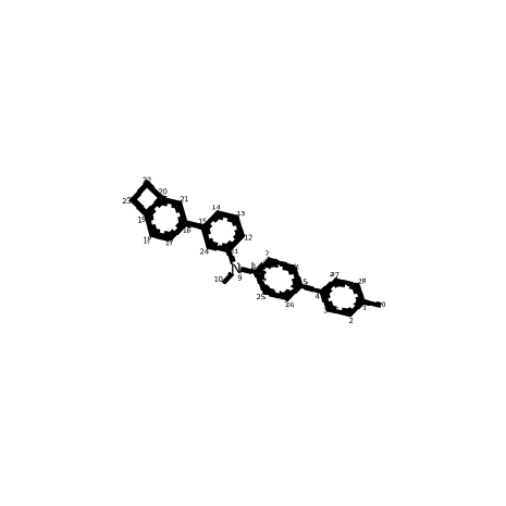 Cc1ccc(-c2ccc(N(C)c3cccc(-c4ccc5c(c4)CC5)c3)cc2)cc1